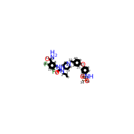 CCCN(C(=O)Nc1cc(C(N)=O)c(F)cc1F)C1CCN(Cc2ccc(Oc3ccc(NS(C)(=O)=O)cc3)cc2)CC1